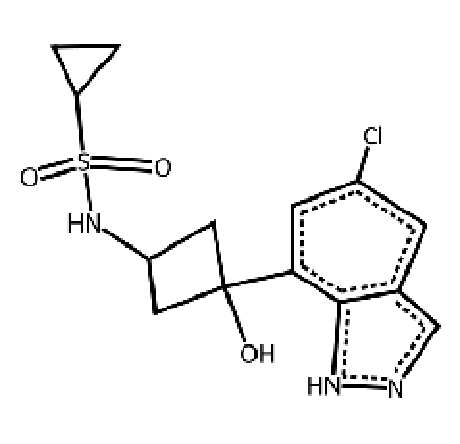 O=S(=O)(NC1CC(O)(c2cc(Cl)cc3cn[nH]c23)C1)C1CC1